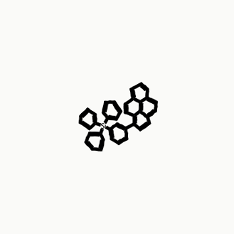 c1ccc([Si](c2ccccc2)(c2ccccc2)c2cccc(-c3ccc4ccc5cccc6ccc3c4c56)c2)cc1